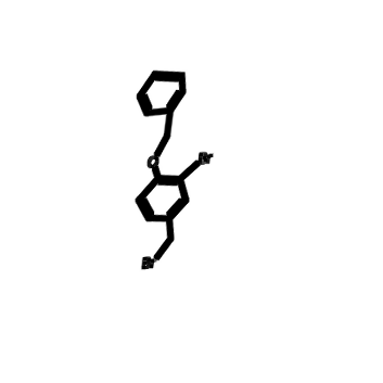 BrCc1ccc(OCc2ccccc2)c(Br)c1